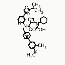 COc1ccc(C23CCC(CN(C(=O)C4OCC4N(C(=O)O)C4CCCCC4)c4cc(-c5coc(C(C)C)n5)ccn4)(CC2)CC3)cc1C